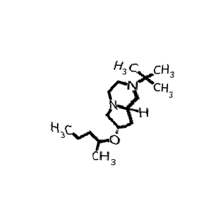 CCCC(C)O[C@H]1C[C@H]2CN(C(C)(C)C)CCN2C1